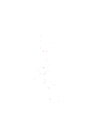 C=CCC(O[Si](C)(C)C(C)(C)C)c1cc(C)c(-c2cc3cnc(NC(=O)C4CC4(F)F)cc3n(C)c2=O)cn1